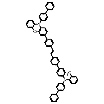 Cc1ccccc1N(c1ccc(-c2ccccc2)cc1)c1ccc(-c2ccc(/C=C/c3ccc(-c4ccc(N(c5ccc(-c6ccccc6)cc5)c5ccccc5C)cc4)cc3)cc2)cc1